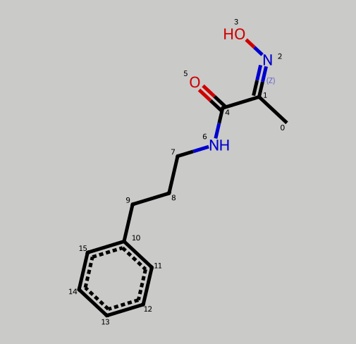 C/C(=N/O)C(=O)NCCCc1ccccc1